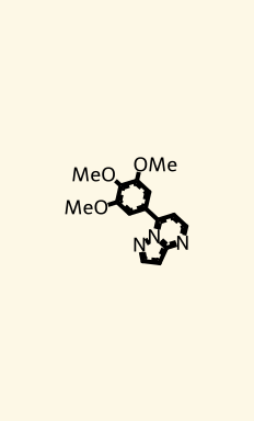 COc1cc(-c2ccnc3ccnn23)cc(OC)c1OC